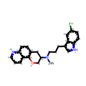 CCCN(CCCc1c[nH]c2ccc(F)cc12)C1COc2c(ccc3ncccc23)C1